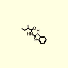 CCC(C)C(=O)Nc1nc2ccccc2[nH]1